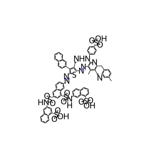 Cc1ccc(Cc2nc(Nc3ccc(S(=O)(=O)O)cc3)c(/N=N/c3sc(/N=N/c4ccc5cc(S(=O)(=O)Nc6cc(S(=O)(=O)O)c7ccccc7c6)cc(S(=O)(=O)Nc6ccc7cccc(S(=O)(=O)O)c7c6)c5c4)c(-c4ccc5ccccc5c4)c3C#N)c(C)c2C#N)cc1